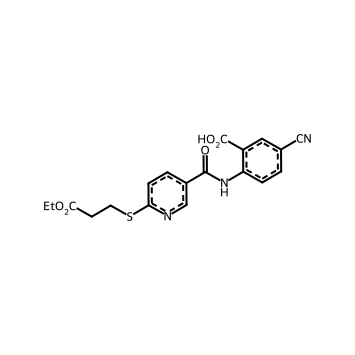 CCOC(=O)CCSc1ccc(C(=O)Nc2ccc(C#N)cc2C(=O)O)cn1